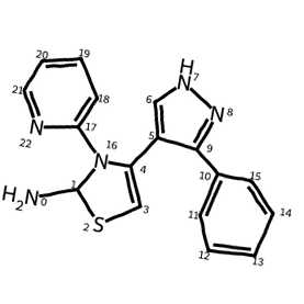 NC1SC=C(c2c[nH]nc2-c2ccccc2)N1c1ccccn1